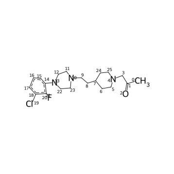 CC(=O)CN1CCC(CCN2CCN(c3cccc(Cl)c3F)CC2)CC1